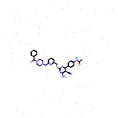 CC(=O)Nc1ccc(-c2nc(SCc3cccc(CN4CCN(C(=O)c5ccccc5)CC4)n3)nc(N)c2C#N)cc1